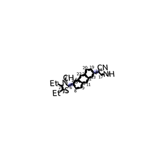 CCC1=C(CC)N(C)/C(=c2/ccc3cc4c/c(=C(/C#N)C=N)ccc4cc3c2)S1